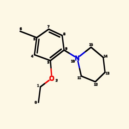 CCOc1cc(C)ccc1N1CCCCC1